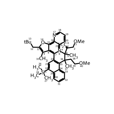 C=C(COC)C1(C)[n+]2c(c3c(C)c(CC(C)(C)C)oc3c3ncccc32)-c2cc([Si](C)(C)C)c3ccccc3c2C1(C)CCOC